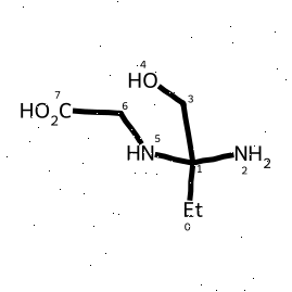 CCC(N)(CO)NCC(=O)O